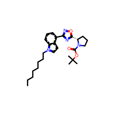 CCCCCCCCn1ccc2c(-c3noc([C@@H]4CCCN4C(=O)OC(C)(C)C)n3)cccc21